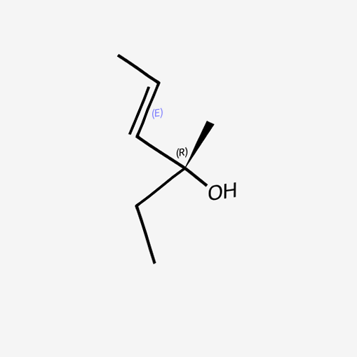 C/C=C/[C@](C)(O)CC